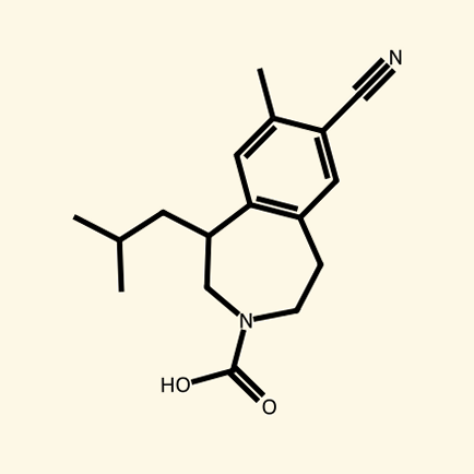 Cc1cc2c(cc1C#N)CCN(C(=O)O)CC2CC(C)C